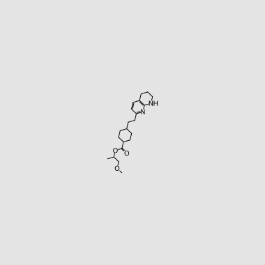 COCC(C)OC(=O)C1CCC(CCc2ccc3c(n2)NCCC3)CC1